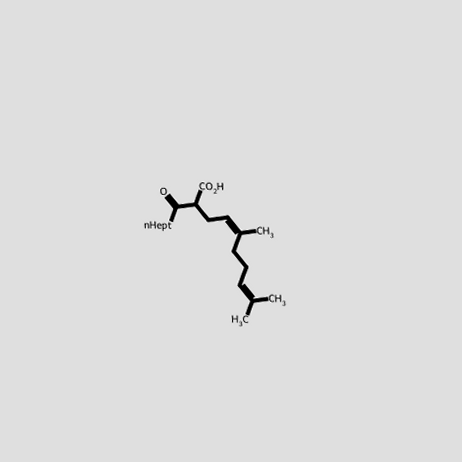 CCCCCCCC(=O)C(CC=C(C)CCC=C(C)C)C(=O)O